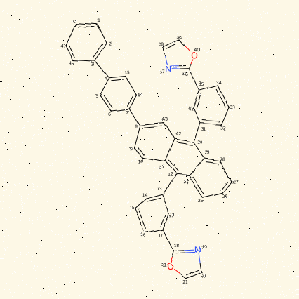 c1ccc(-c2ccc(-c3ccc4c(-c5cccc(-c6ncco6)c5)c5ccccc5c(-c5cccc(-c6ncco6)c5)c4c3)cc2)cc1